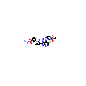 CCS(=O)(=O)N1CC[C@H](Nc2c(Br)cnc3nc(-c4cc(C)n(-c5cccc(S(N)(=O)=O)c5)c4C)[nH]c23)C1